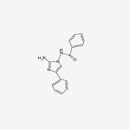 Nc1nc(-c2ccccc2)cn1NC(=O)c1ccccc1